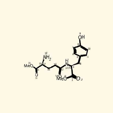 COC(=O)[C@H](Cc1ccc(O)cc1)NC(=O)CC[C@H](N)C(=O)OC